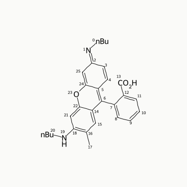 CCCC/N=c1\ccc2c(-c3ccccc3C(=O)O)c3cc(C)c(NCCCC)cc3oc-2c1